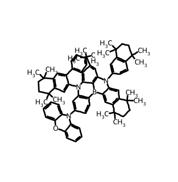 CC(C)(C)c1cc2c3c(c1)N(c1cc4c(cc1-c1ccccc1)C(C)(C)CCC4(C)C)c1cc(N4c5ccccc5Oc5ccccc54)ccc1B3c1cc3c(cc1N2c1ccc2c(c1)C(C)(C)CCC2(C)C)C(C)(C)CCC3(C)C